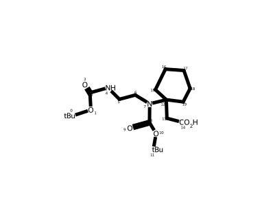 CC(C)(C)OC(=O)NCCN(C(=O)OC(C)(C)C)C1(CC(=O)O)CCCCC1